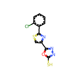 Sc1nnc(-c2csc(-c3ccccc3Cl)n2)o1